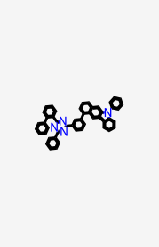 c1ccc(-c2nc(-c3cccc(-c4cccc5cc6c(cc45)c4ccccc4n6-c4ccccc4)c3)nc(-c3ccccc3-c3ccccc3)n2)cc1